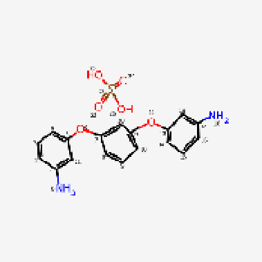 Nc1cccc(Oc2cccc(Oc3cccc(N)c3)c2)c1.O=S(=O)(O)O